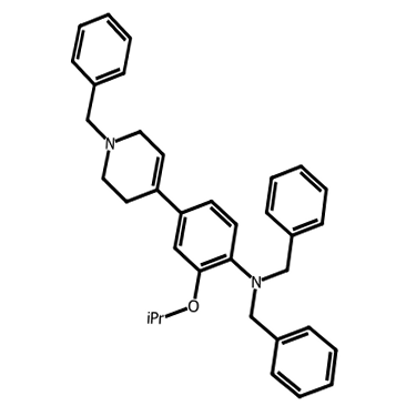 CC(C)Oc1cc(C2=CCN(Cc3ccccc3)CC2)ccc1N(Cc1ccccc1)Cc1ccccc1